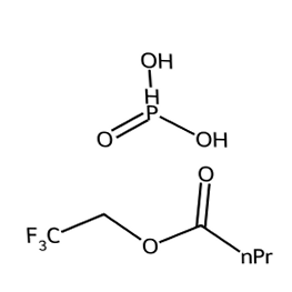 CCCC(=O)OCC(F)(F)F.O=[PH](O)O